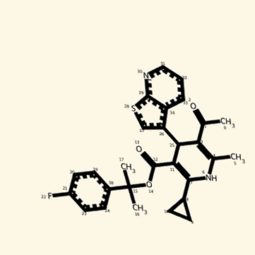 CC(=O)C1=C(C)NC(C2CC2)=C(C(=O)OC(C)(C)c2ccc(F)cc2)C1c1csc2ncccc12